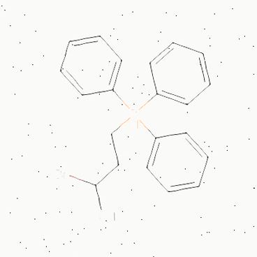 CC(Br)CC[PH](c1ccccc1)(c1ccccc1)c1ccccc1